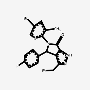 Cc1cc(Br)cnc1N1C(=O)c2[nH]nc(CC(C)C)c2C1c1ccc(F)cc1